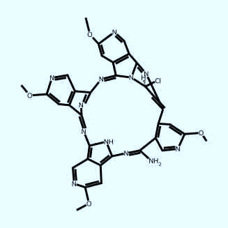 COc1cc2c(cn1)/C(N)=N/c1[nH]c(c3cnc(OC)cc13)/N=C1N=C(/N=c3/c4cc(OC)ncc4c4n3[C@@H](Cl)C=C2N=4)c2cnc(OC)cc2\1